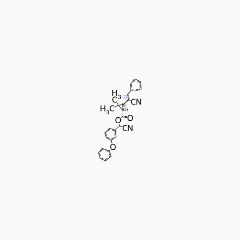 CC1(C)[C@@H](C(=O)OC(C#N)c2cccc(Oc3ccccc3)c2)[C@@H]1/C(C#N)=C/c1ccccc1